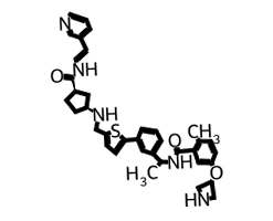 Cc1ccc(OC2CNC2)cc1C(=O)NC(C)c1cccc(-c2ccc(CN[C@H]3CC[C@@H](C(=O)N/C=C/c4cccnc4)C3)s2)c1